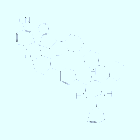 N#CC1=CC2C(C=C1)OC1CCC(C3C=CC(C4NC(C5CC=CCC5)NC(C5CCCCC5C5CCCCC5)N4)CC3)CC1C21C2=C(C=CCC2)C2C3CCCCC3CCC21